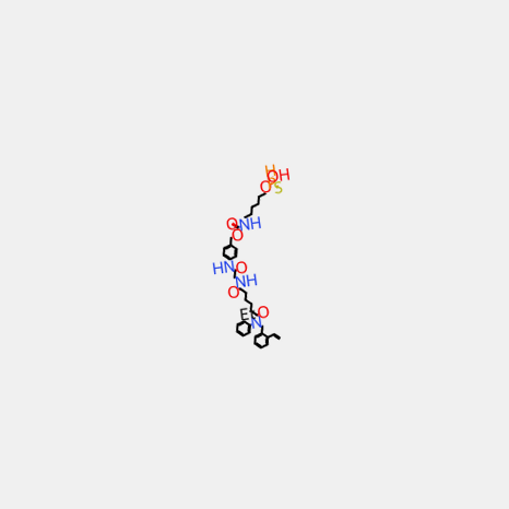 C=Cc1ccccc1CN(C(=O)CCCCC(=O)NCC(=O)Nc1ccc(COC(=O)NCCCCCCO[PH](O)=S)cc1)c1ccccc1CC